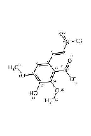 COc1cc(C=C[N+](=O)[O-])c([N+](=O)[O-])c(OC)c1O